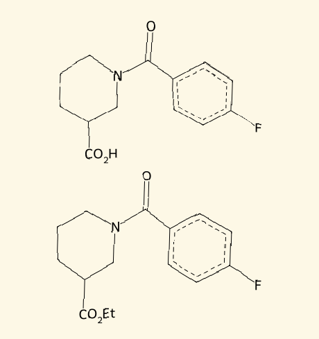 CCOC(=O)C1CCCN(C(=O)c2ccc(F)cc2)C1.O=C(O)C1CCCN(C(=O)c2ccc(F)cc2)C1